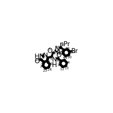 CCCC(=NNC(=O)C(NC(=O)c1ccccc1)c1n[nH]c(=O)c2ccccc12)c1cccc(Br)c1